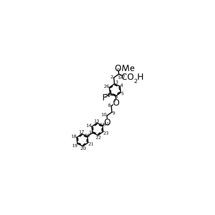 COC(Cc1ccc(OCCCOc2ccc(-c3ccccc3)cc2)c(F)c1)C(=O)O